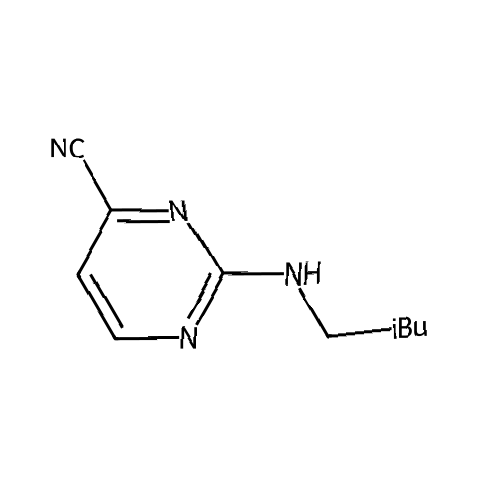 CCC(C)CNc1nccc(C#N)n1